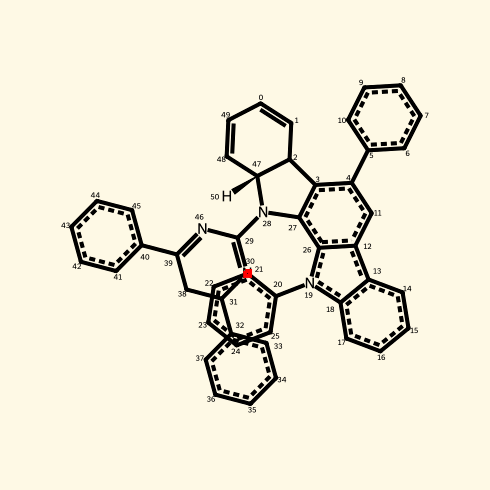 C1=CC2c3c(-c4ccccc4)cc4c5ccccc5n(-c5ccccc5)c4c3N(C3=NC(c4ccccc4)CC(c4ccccc4)=N3)[C@@H]2C=C1